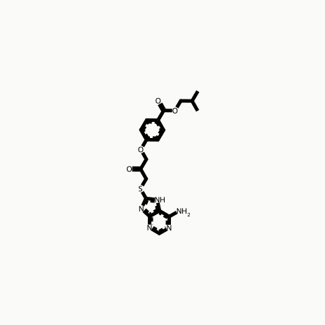 CC(C)COC(=O)c1ccc(OCC(=O)CSc2nc3ncnc(N)c3[nH]2)cc1